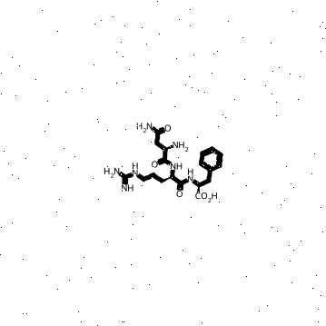 N=C(N)NCCC[C@@H](NC(=O)[C@H](N)CC(N)=O)C(=O)N[C@@H](Cc1ccccc1)C(=O)O